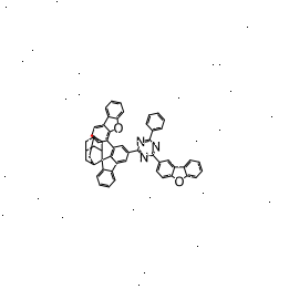 c1ccc(-c2nc(-c3cc4c(c(-c5cccc6c5oc5ccccc56)c3)C3(c5ccccc5-4)C4CC5CC(C4)CC3C5)nc(-c3ccc4oc5ccccc5c4c3)n2)cc1